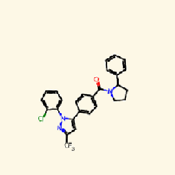 O=C(c1ccc(-c2cc(C(F)(F)F)nn2-c2ccccc2Cl)cc1)N1CCCC1c1ccccc1